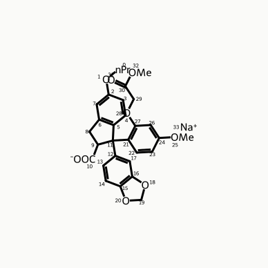 CCCOc1ccc2c(c1)CC(C(=O)[O-])C2(c1ccc2c(c1)OCO2)c1ccc(OC)cc1OCC(=O)OC.[Na+]